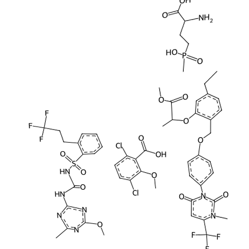 CCc1ccc(COc2ccc(-n3c(=O)cc(C(F)(F)F)n(C)c3=O)cc2)c(OC(C)C(=O)OC)c1.COc1c(Cl)ccc(Cl)c1C(=O)O.COc1nc(C)nc(NC(=O)NS(=O)(=O)c2ccccc2CCC(F)(F)F)n1.CP(=O)(O)CCC(N)C(=O)O